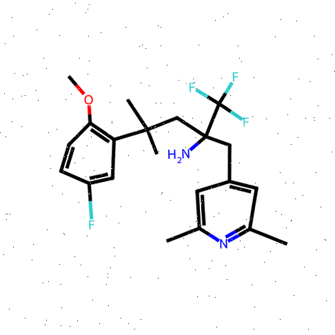 COc1ccc(F)cc1C(C)(C)CC(N)(Cc1cc(C)nc(C)c1)C(F)(F)F